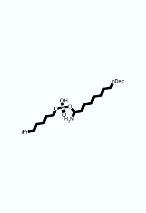 CCCCCCCCCCCCCCCCCC(N)OP(=O)(O)OCCCCCC(C)C